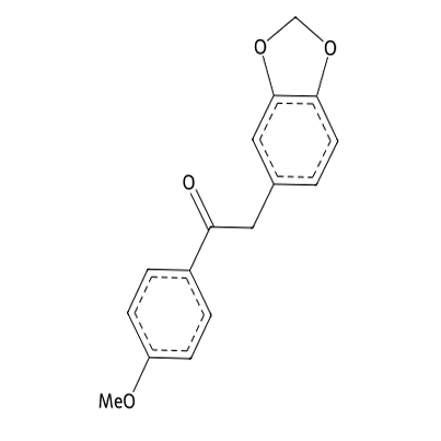 COc1ccc(C(=O)Cc2ccc3c(c2)OCO3)cc1